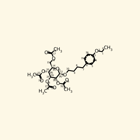 CCOc1ccc(CCCCO[C@@H]2O[C@H](COC(C)=O)[C@@H](OC(C)=O)[C@H](OC(C)=O)[C@H]2OC(C)=O)cc1